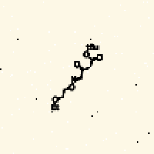 CCOCCON=CC(=O)CC(=O)OC(C)(C)C